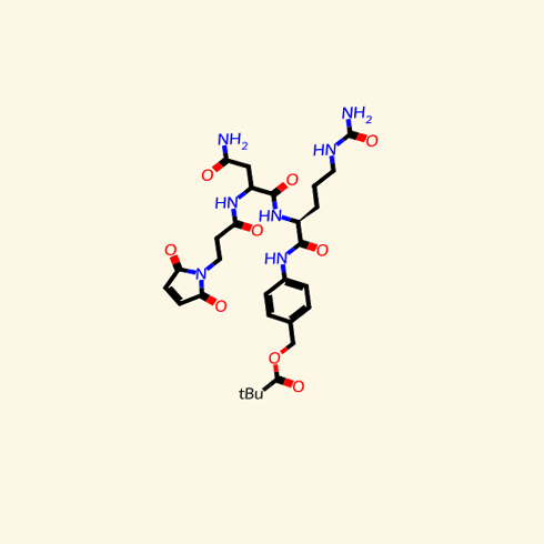 CC(C)(C)C(=O)OCc1ccc(NC(=O)[C@H](CCCNC(N)=O)NC(=O)C(CC(N)=O)NC(=O)CCN2C(=O)C=CC2=O)cc1